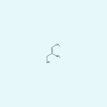 CC=C(N)CCCC